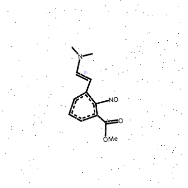 COC(=O)c1cccc(/C=C/N(C)C)c1N=O